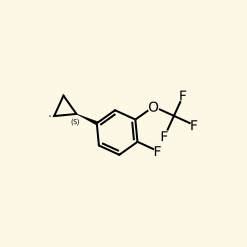 Fc1ccc([C@H]2[CH]C2)cc1OC(F)(F)F